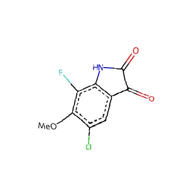 COc1c(Cl)cc2c(c1F)NC(=O)C2=O